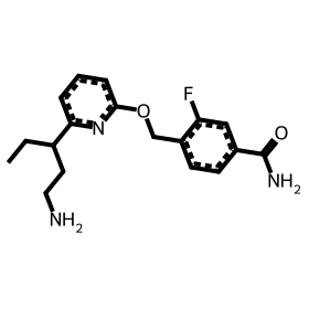 CCC(CCN)c1cccc(OCc2ccc(C(N)=O)cc2F)n1